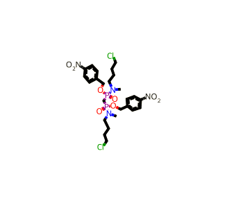 CN(CCCCCl)P(=O)(CP(=O)(OCc1ccc([N+](=O)[O-])cc1)N(C)CCCCCl)OCc1ccc([N+](=O)[O-])cc1